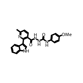 COc1ccc(NC(=O)NNC(=O)c2ccc(C)nc2-c2c[nH]c3ccccc23)cc1